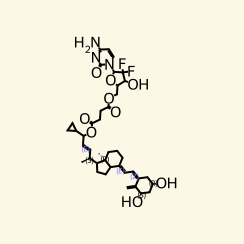 C=C1/C(=C\C=C2/CCC[C@@]3(C)C2CCC3[C@@H](C)/C=C/C(OC(=O)CCC(=O)OCC2OC(n3ccc(N)nc3=O)C(F)(F)C2O)C2CC2)C[C@@H](O)C[C@@H]1O